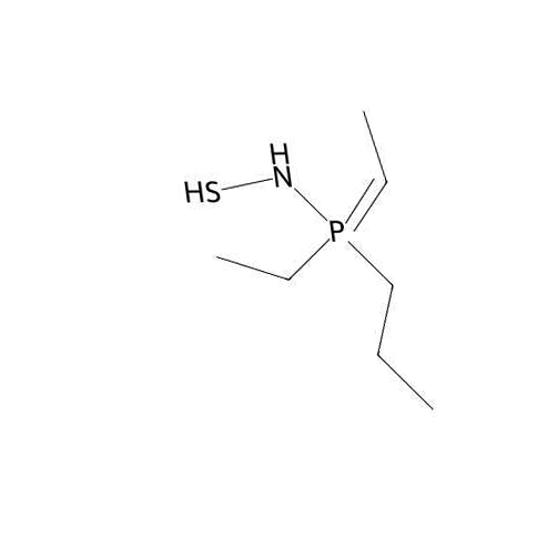 CC=P(CC)(CCC)NS